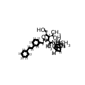 C[C@H](O)[C@@H]1[C@H](CO)ON(Cc2cccc(/C=C/c3ccccc3)c2)[C@@H]1C(=O)NC1C[C@H]2C[C@@H]([C@@H]1C)C2(C)C